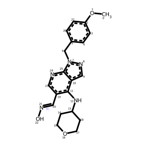 COc1ccc(Cn2ncc3c(NC4CCOCC4)c(/C=N/O)cnc32)cc1